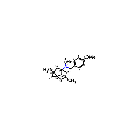 CCCCCCN(Cc1ccc(OC)cc1)C12CC(C)CC3(C1)CC3(C)C2